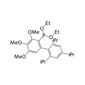 CCOP(OCC)c1c(-c2c(C(C)C)cc(C(C)C)cc2C(C)C)cc(OC)c(OC)c1OC